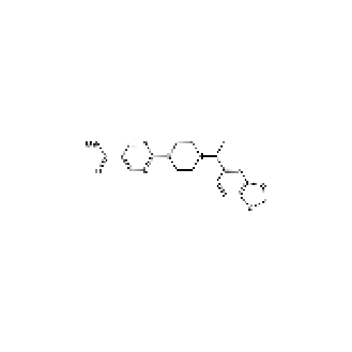 CNC(=O)c1cnc(N2CCN(C(C)c3ccc4c(c3)OCO4)CC2)nc1